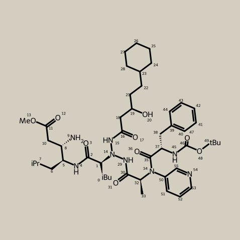 CC[C@H](C)[C@@H](C(=O)N[C@@H](CC(C)C)[C@@H](N)CC(=O)OC)N(NC(=O)CC(O)CCC1CCCCC1)NC(=O)[C@H](C)N(C(=O)[C@H](Cc1ccccc1)NC(=O)OC(C)(C)C)c1cccnc1